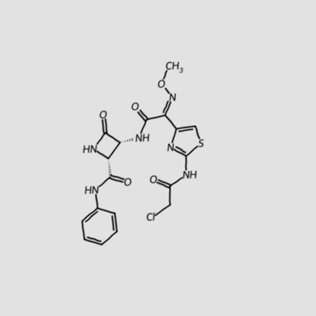 CO/N=C(\C(=O)N[C@H]1C(=O)N[C@H]1C(=O)Nc1ccccc1)c1csc(NC(=O)CCl)n1